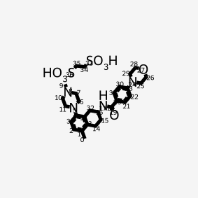 Cc1ccc(N2CCN(C)CC2)c2c1CC[C@@H](NC(=O)c1ccc(N3CCOCC3)cc1)C2.O=S(=O)(O)CCS(=O)(=O)O